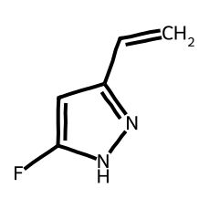 C=Cc1cc(F)[nH]n1